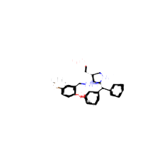 COc1ccc(SC)cc1CN[C@H]1[C@@H](CCO)CN[C@H]1C(c1ccccc1)c1ccccc1